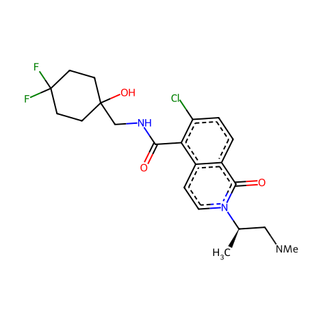 CNC[C@@H](C)n1ccc2c(C(=O)NCC3(O)CCC(F)(F)CC3)c(Cl)ccc2c1=O